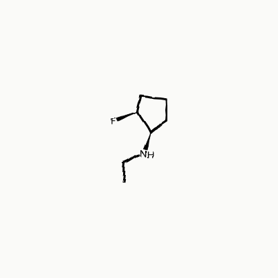 CCN[C@@H]1CCC[C@@H]1F